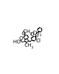 COc1ccc2c(c1)C(CC(=O)O)=C(C)/C2=C/c1cc(Cl)c(OCc2ccccc2)c(OC)c1